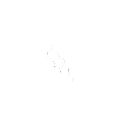 CCOC(=O)c1cc2cc(Cl)ccc2nc1C